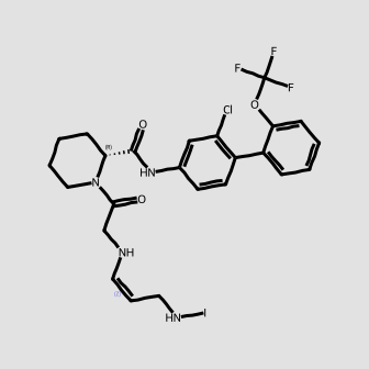 O=C(Nc1ccc(-c2ccccc2OC(F)(F)F)c(Cl)c1)[C@H]1CCCCN1C(=O)CN/C=C\CNI